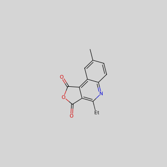 CCc1nc2ccc(C)cc2c2c1C(=O)OC2=O